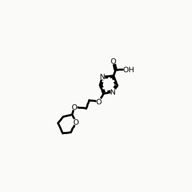 O=C(O)c1cnc(OCCOC2CCCCO2)cn1